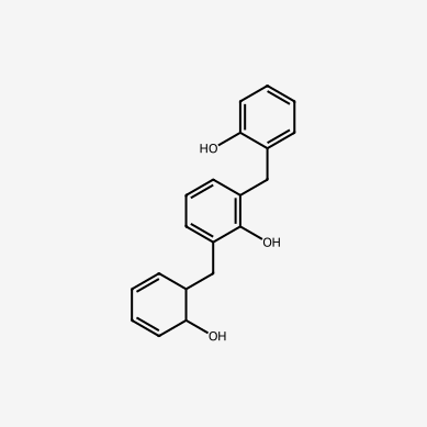 Oc1ccccc1Cc1cccc(CC2C=CC=CC2O)c1O